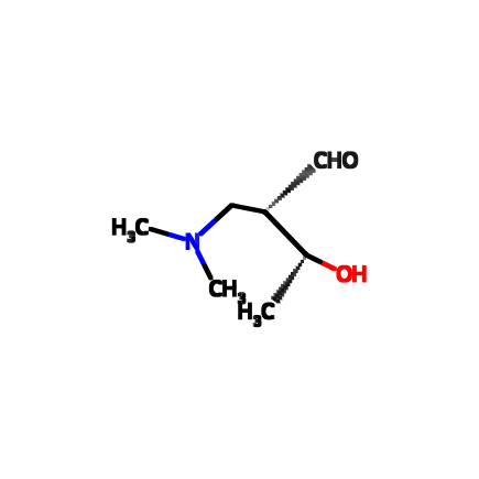 C[C@@H](O)[C@@H](C=O)CN(C)C